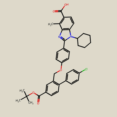 Cc1c(C(=O)O)ccc2c1nc(-c1ccc(OCc3cc(C(=O)OC(C)(C)C)ccc3-c3ccc(Cl)cc3)cc1)n2C1CCCCC1